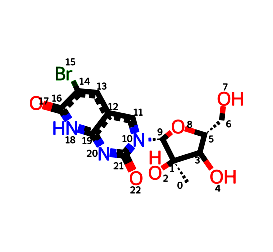 C[C@@]1(O)C(O)[C@@H](CO)O[C@H]1n1cc2cc(Br)c(=O)[nH]c2nc1=O